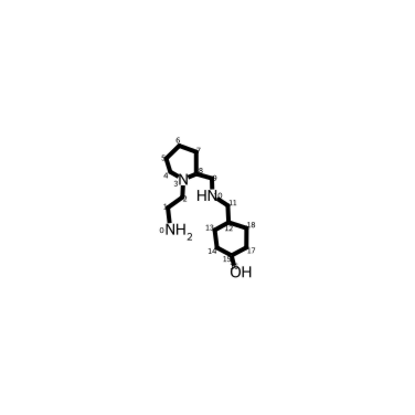 NCCN1CCCCC1CNCC1CCC(O)CC1